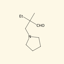 CCC(C)(C=O)CN1CCCC1